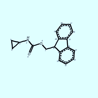 O=C(NC1CC1)OCC1c2ccccc2-c2ccccc21